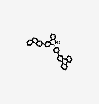 O=c1c2ccccc2c2cc(-c3ccc4c(ccc5ccccc54)c3)ccc2n1-c1ccc(-c2ccc3c4ccccc4c4ccccc4c3c2)cc1